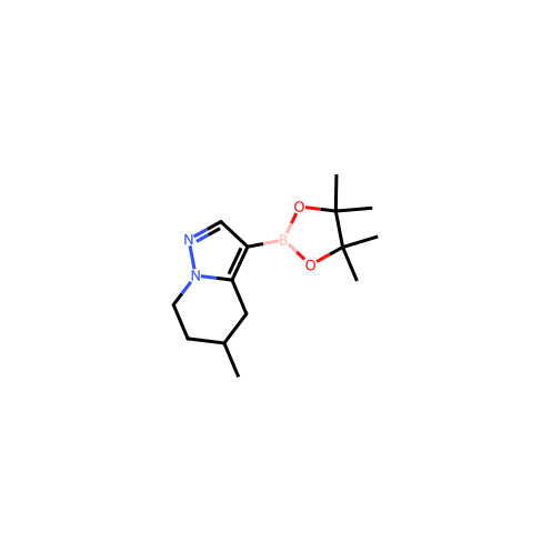 CC1CCn2ncc(B3OC(C)(C)C(C)(C)O3)c2C1